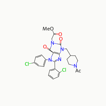 COC(=O)Cn1c(=O)c2c(nc(-c3ccccc3Cl)n2-c2ccc(Cl)cc2)n(CC2CCN(C(C)=O)CC2)c1=O